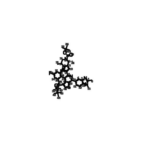 Cc1nc2cc(-c3nc(-c4cc5n(n4)[C@@H](C)CN(C(=O)OC(C)(C)C)[C@@H]5C)c(-c4c(F)cc(F)cc4CO[Si](C)(C)C(C)(C)C)c4c(F)csc34)ccc2n1C